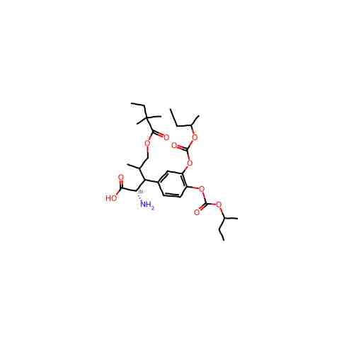 CCC(C)OC(=O)Oc1ccc(C(C(C)COC(=O)C(C)(C)CC)[C@H](N)C(=O)O)cc1OC(=O)OC(C)CC